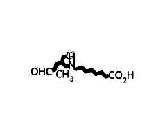 CC(C=O)CC(CCl)CNCCCCCCCC(=O)O